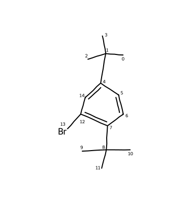 CC(C)(C)c1ccc(C(C)(C)C)c(Br)c1